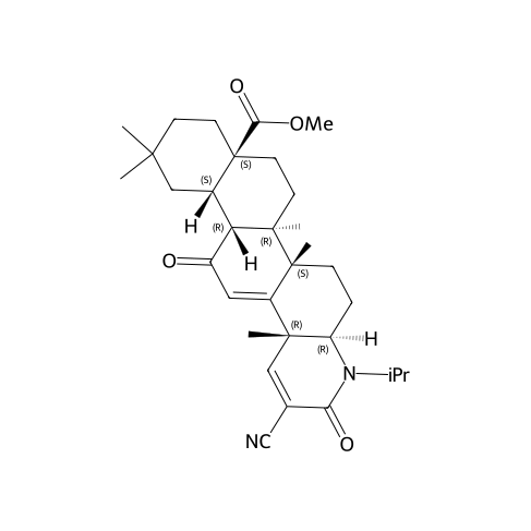 COC(=O)[C@]12CCC(C)(C)C[C@H]1[C@H]1C(=O)C=C3[C@@]4(C)C=C(C#N)C(=O)N(C(C)C)[C@@H]4CC[C@@]3(C)[C@]1(C)CC2